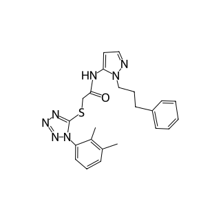 Cc1cccc(-n2nnnc2SCC(=O)Nc2ccnn2CCCc2ccccc2)c1C